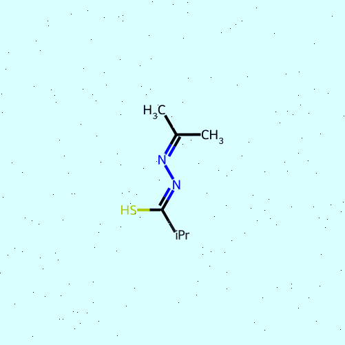 CC(C)=N/N=C(\S)C(C)C